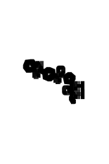 CCNC(=O)N[C@H]1CC[C@@H](C(=O)N(C)c2ccc(-c3nc4ccccc4n3C)cc2)C1